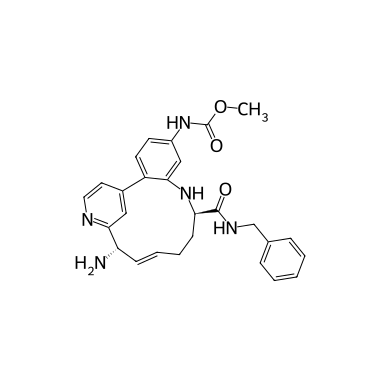 COC(=O)Nc1ccc2c(c1)N[C@@H](C(=O)NCc1ccccc1)CC/C=C/[C@H](N)c1cc-2ccn1